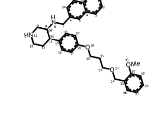 COc1ccc2cc(CN[C@@H]3CNCC[C@@H]3c3ccc(OCCCOCc4ccccc4OC)cc3)ccc2c1